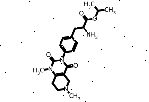 CC(C)OC(=O)[C@@H](N)Cc1ccc(-n2c(=O)c3c(n(C)c2=O)CCN(C)C3)cc1